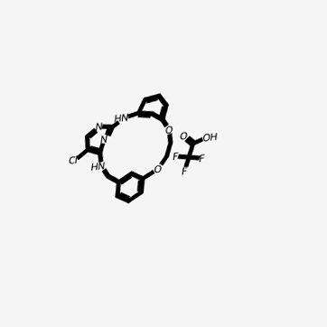 Clc1cnc2nc1NCc1cccc(c1)OCCOc1cccc(c1)N2.O=C(O)C(F)(F)F